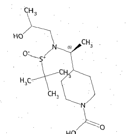 CC(O)CN([C@@H](C)C1CCN(C(=O)O)CC1)[S+]([O-])C(C)(C)C